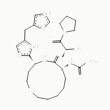 COC(=O)N[C@H]1CCCCCOCC[C@@H](c2ncc(Cc3c[nH]c([C@@H]4CCCN4C(=O)[C@@H](C)C(C)C)n3)[nH]2)NC1=O